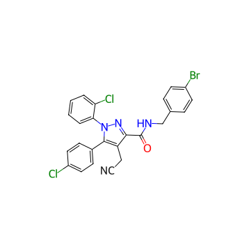 N#CCc1c(C(=O)NCc2ccc(Br)cc2)nn(-c2ccccc2Cl)c1-c1ccc(Cl)cc1